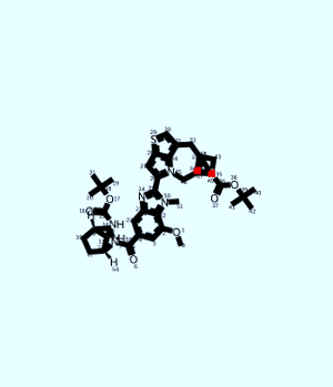 COc1cc(C(=O)N2C[C@H]3CC[C@@H]2[C@@H]3NC(=O)OC(C)(C)C)cc2nc(-c3cc4scc(CC5CN(C(=O)OC(C)(C)C)C5)c4n3CC3CC3)n(C)c12